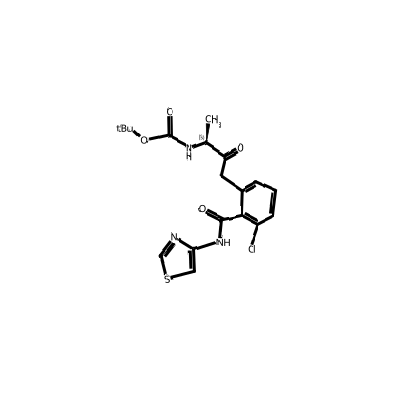 C[C@H](NC(=O)OC(C)(C)C)C(=O)Cc1cccc(Cl)c1C(=O)Nc1cscn1